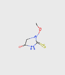 CON1CC(=O)NC1=S